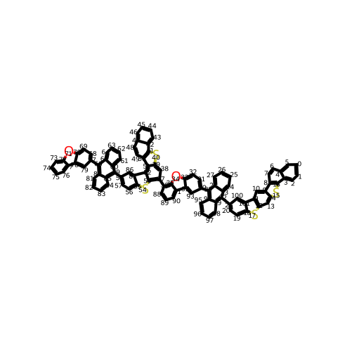 c1ccc2c(c1)ccc1c3cc4c(cc3sc21)sc1ccc(-c2c3ccccc3c(-c3ccc5oc6c(-c7cc8sc9c%10ccccc%10ccc9c8c8c7sc7ccc(-c9c%10ccccc%10c(-c%10ccc%11oc%12ccccc%12c%11c%10)c%10ccccc9%10)cc78)cccc6c5c3)c3ccccc23)cc14